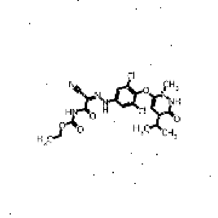 CCOC(=O)NC(=O)C(C#N)=NNc1cc(Cl)c(OC2=CC(C(C)C)C(=O)NN2C)c(Cl)c1